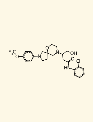 O=C(CC(CO)N1CCOC2(CCN(c3ccc(OC(F)(F)F)cc3)C2)C1)Nc1ccccc1Cl